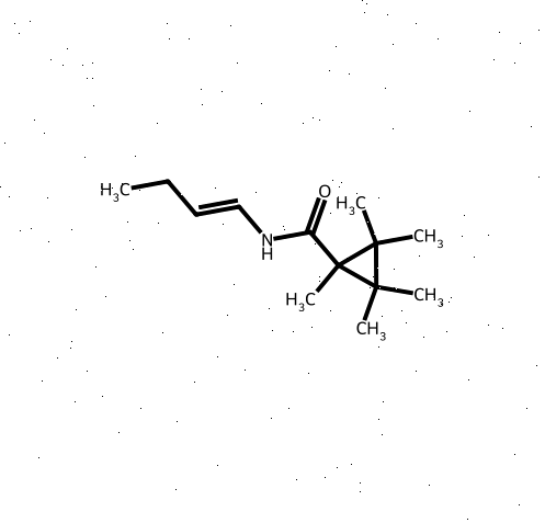 CCC=CNC(=O)C1(C)C(C)(C)C1(C)C